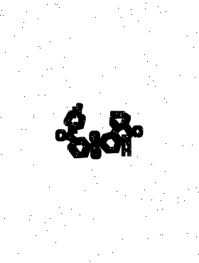 CN1CCN(C(=O)c2cccc(S(=O)(=O)C3CCc4[nH]c(=O)c5ccccc5c4C3)c2)CC1